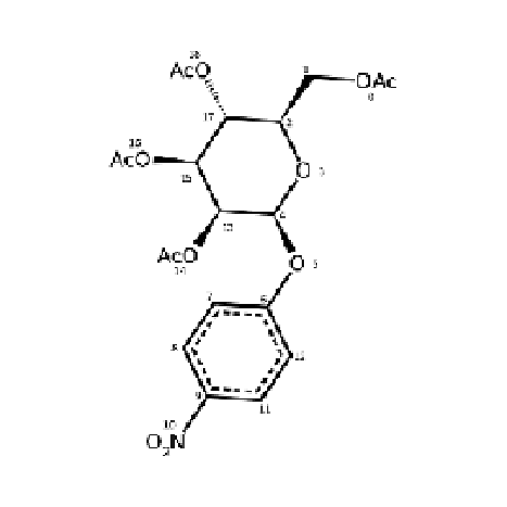 CC(=O)OC[C@H]1O[C@@H](Oc2ccc([N+](=O)[O-])cc2)[C@@H](OC(C)=O)[C@@H](OC(C)=O)[C@@H]1OC(C)=O